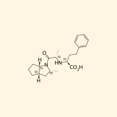 C[C@H](N[C@@H](CCc1ccccc1)C(=O)O)C(=O)N1[C@H](C)C[C@@H]2CCC[C@@H]21